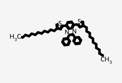 CCCCCCCCCCCCc1csc(-c2ccc(-c3cc(CCCCCCCCCCCC)cs3)c3nc(-c4ccccc4)c(-c4ccccc4)nc23)c1